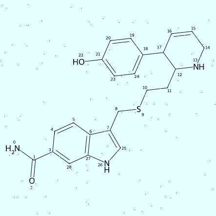 NC(=O)c1ccc2c(CSCCC3NCC=CC3c3ccc(O)cc3)c[nH]c2c1